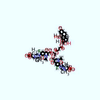 COc1c(N2CCN(Cc3oc(=O)oc3C)C(C)C2)c(F)cc2c(=O)c(C(=O)OCC(COC(=O)c3cn(C4CC4)c4c(OC)c(N5CCN(Cc6oc(=O)oc6C)C(C)C5)c(F)cc4c3=O)OC(=O)CCC(=O)OCC(=O)[C@@]3(O)CC[C@H]4[C@@H]5CCC6=CC(=O)C=C[C@]6(C)C5[C@@H](O)C[C@@]43C)cn(C3CC3)c12